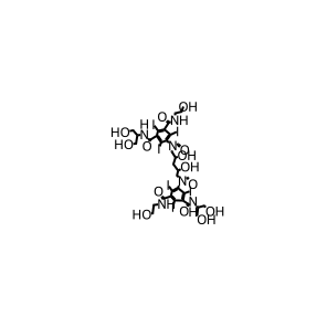 O=CN(CC(O)CC(O)CN(C=O)c1c(I)c(C(=O)NCCO)c(I)c(C(=O)NC(CO)CO)c1I)c1c(I)c(C(=O)NCCO)c(I)c(C(=O)NC(CO)CO)c1I